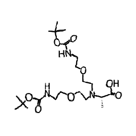 C[C@@H](C(=O)O)N(CCOCCNC(=O)OC(C)(C)C)CCOCCNC(=O)OC(C)(C)C